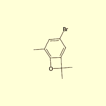 Cc1cc(Br)cc2c1OC2(C)C